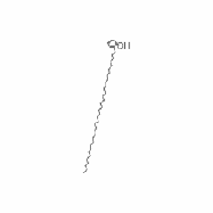 CCCCCCCCCCCCCCCCCCCCCCCCCCCCCCCCCCCCc1ccccc1O